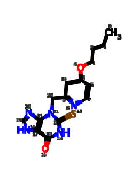 CCCCOc1ccnc(Cn2c(=S)[nH]c(=O)c3[nH]cnc32)c1